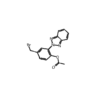 CC(=O)Oc1ccc(CBr)cc1-n1nc2ccccc2n1